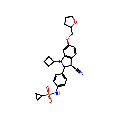 N#CC1c2ccc(OCC3CCCO3)cc2N(C2CCC2)C1c1ccc(NS(=O)(=O)C2CC2)cc1